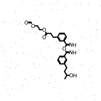 CC(O)CCc1cccc(C(=N)OC(=N)c2cccc(CCC(=O)OCCOC=O)c2)c1